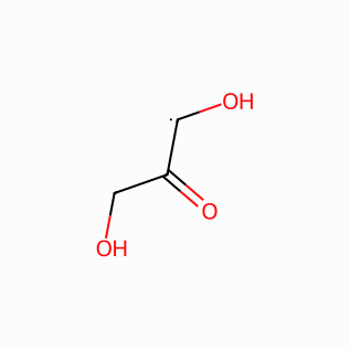 O=C([CH]O)CO